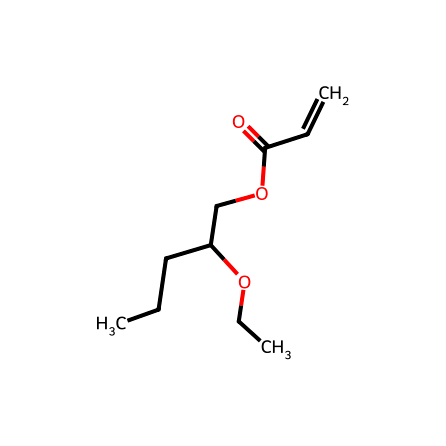 C=CC(=O)OCC(CCC)OCC